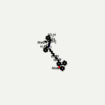 COCC[N+]1=C(/C=C/C=C2/N(CCCCCC(=O)NCCNC(=O)c3ccc(C(=O)OC)c(P(c4ccccc4)c4ccccc4)c3)c3ccccc3C2(C)C)C(C)(C)c2cc(S(=O)(=O)O)ccc21